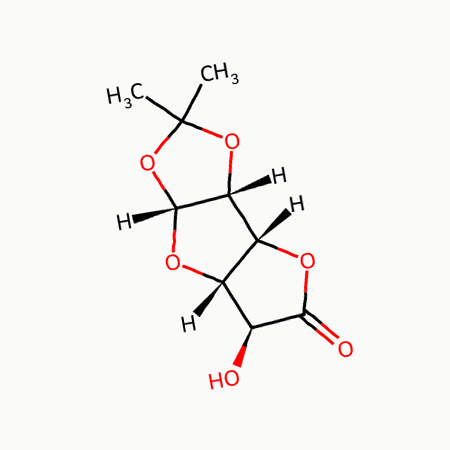 CC1(C)O[C@H]2O[C@@H]3[C@@H](OC(=O)[C@H]3O)[C@H]2O1